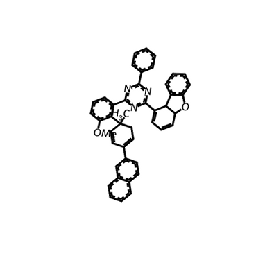 COc1cccc(-c2nc(C3=CC=CC4Oc5ccccc5C34)nc(-c3ccccc3)n2)c1C1(C)C=CC(c2ccc3ccccc3c2)=CC1